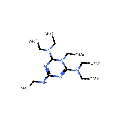 COCNC1=NC(N(COC)COC)N(COC)C(N(COC)COC)=N1